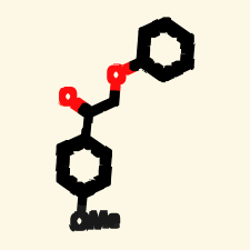 COc1ccc(C(=O)COc2ccccc2)cc1